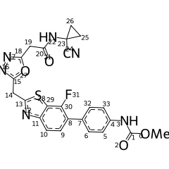 COC(=O)Nc1ccc(-c2ccc3nc(Cc4nnc(CC(=O)NC5(C#N)CC5)o4)sc3c2F)cc1